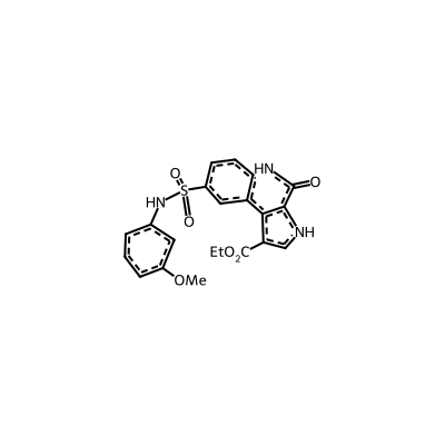 CCOC(=O)c1c[nH]c2c(=O)[nH]c3ccc(S(=O)(=O)Nc4cccc(OC)c4)cc3c12